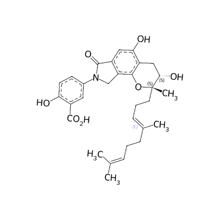 CC(C)=CCC/C(C)=C/CC[C@]1(C)Oc2c(c(O)cc3c2CN(c2ccc(O)c(C(=O)O)c2)C3=O)C[C@@H]1O